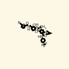 Cn1c(Nc2c(Cl)ccc(CNC(=O)c3cccc(C#N)n3)c2Cl)nc2cc(C(=O)N[C@H]3CC[C@H](C(F)(F)F)CC3)c(N3CC4CC4C3)cc21